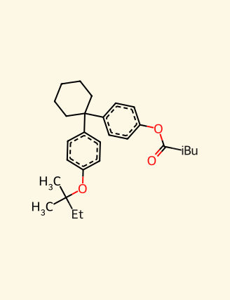 CCC(C)C(=O)Oc1ccc(C2(c3ccc(OC(C)(C)CC)cc3)CCCCC2)cc1